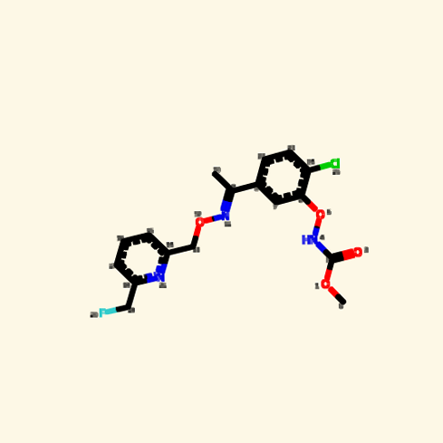 COC(=O)NOc1cc(C(C)=NOCc2cccc(CF)n2)ccc1Cl